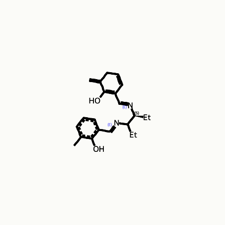 C=C1CC=CC(/C=N/[C@@H](CC)C(CC)/N=C/c2cccc(C)c2O)=C1O